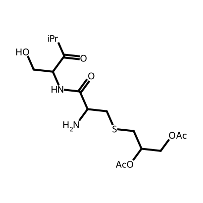 CC(=O)OCC(CSCC(N)C(=O)NC(CO)C(=O)C(C)C)OC(C)=O